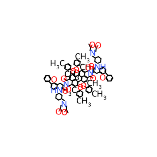 Cc1ccc(Oc2cc3c4c(cc(Oc5ccc(C)cc5C)c5c6c(Oc7ccc(C)cc7C)cc7c8c(cc(Oc9ccc(C)cc9C)c(c2c45)c86)C(=O)N(C(Cc2cccc4c2oc2ccccc24)C(=O)NC2CCCC(CN(CC4CO4)CC4CO4)C2)C7=O)C(=O)N(C(Cc2cccc4c2oc2ccccc24)C(=O)NC2CCCC(CN(CC4CO4)CC4CO4)C2)C3=O)c(C)c1